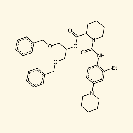 CCc1cc(N2CCCCC2)ccc1NC(=O)N1CCCCC1C(=O)OC(COCc1ccccc1)COCc1ccccc1